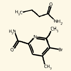 CCCC(N)=O.Cc1cc(C(N)=O)nc(C)c1Br